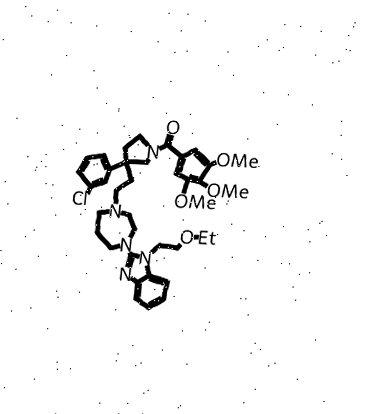 CCOCCn1c(N2CCCN(CCC3(c4cccc(Cl)c4)CCN(C(=O)c4cc(OC)c(OC)c(OC)c4)C3)CC2)nc2ccccc21